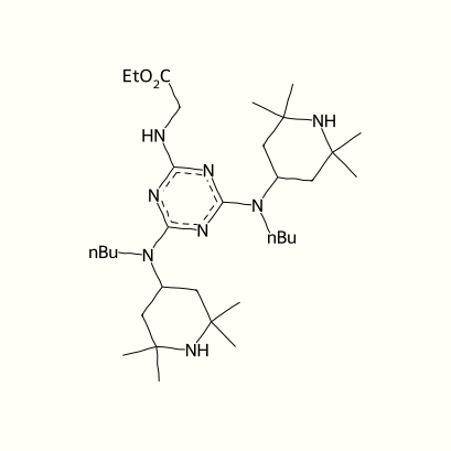 CCCCN(c1nc(NCC(=O)OCC)nc(N(CCCC)C2CC(C)(C)NC(C)(C)C2)n1)C1CC(C)(C)NC(C)(C)C1